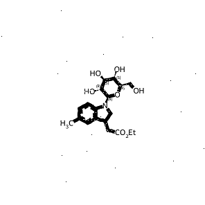 CCOC(=O)CC1CN([C@@H]2O[C@H](CO)[C@@H](O)[C@H](O)[C@H]2O)c2ccc(C)cc21